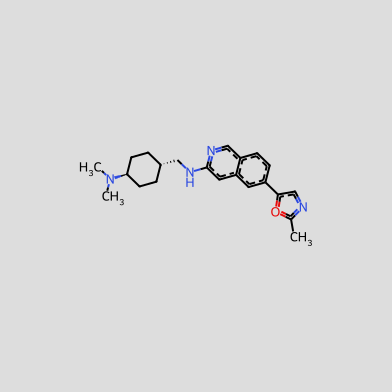 Cc1ncc(-c2ccc3cnc(NC[C@H]4CC[C@H](N(C)C)CC4)cc3c2)o1